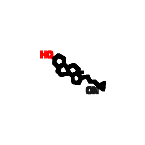 CC12CCC3C4CCC(O)CC4=CCC3C1CCC2CCCC1(N=O)CC1